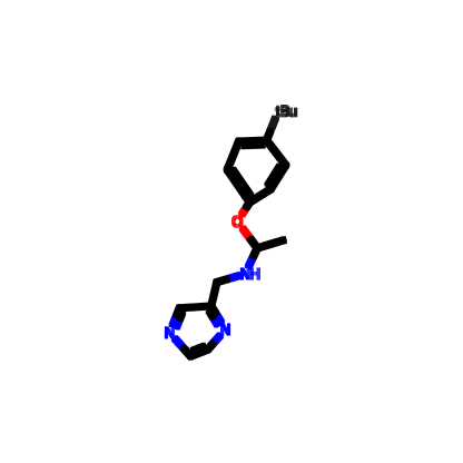 CC(NCc1cnccn1)Oc1ccc(C(C)(C)C)cc1